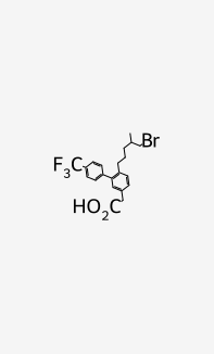 CC(CBr)CCCc1ccc(CC(=O)O)cc1-c1ccc(C(F)(F)F)cc1